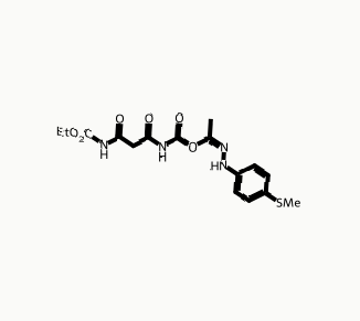 CCOC(=O)NC(=O)CC(=O)NC(=O)OC(C)=NNc1ccc(SC)cc1